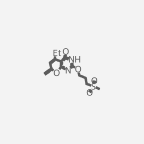 C=C1C=C(CC)c2c(nc(OCCCS(C)(=O)=O)[nH]c2=O)O1